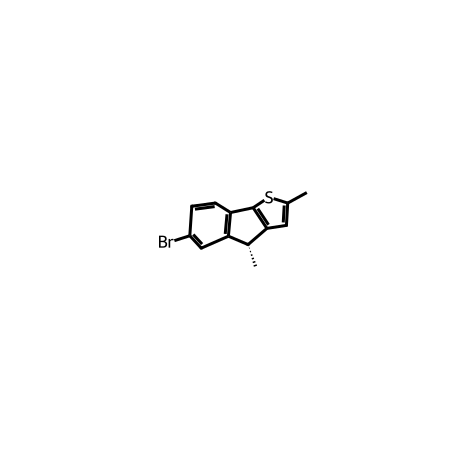 Cc1cc2c(s1)-c1ccc(Br)cc1[C@H]2C